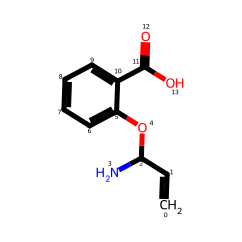 C=CC(N)Oc1ccccc1C(=O)O